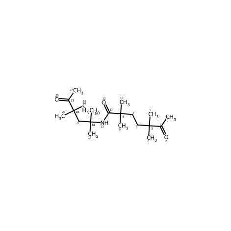 CC(=O)C(C)(C)CCC(C)(C)C(=O)NC(C)(C)CC(C)(C)C(C)=O